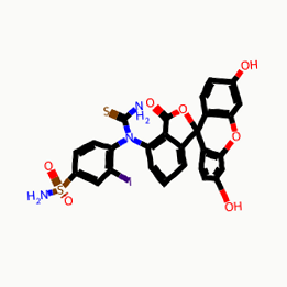 NC(=S)N(c1ccc(S(N)(=O)=O)cc1I)c1cccc2c1C(=O)OC21c2ccc(O)cc2Oc2cc(O)ccc21